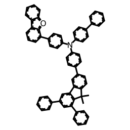 CC1(C)c2ccc(-c3ccc(N(c4ccc(-c5ccccc5)cc4)c4ccc(-c5cccc6c5oc5ccccc56)cc4)cc3)cc2-c2cc(-c3ccccc3)cc(-c3ccccc3)c21